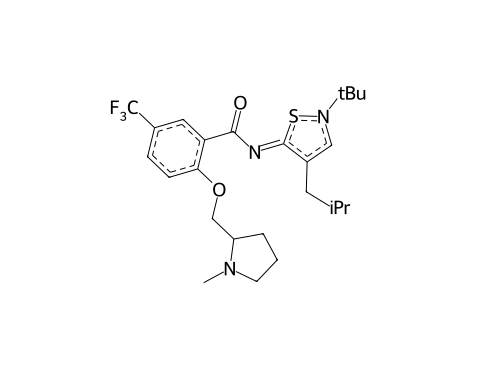 CC(C)Cc1cn(C(C)(C)C)sc1=NC(=O)c1cc(C(F)(F)F)ccc1OCC1CCCN1C